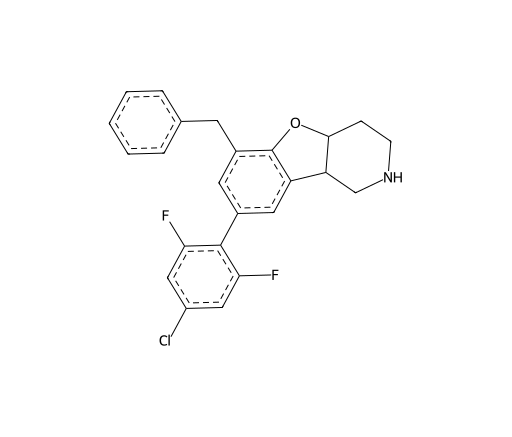 Fc1cc(Cl)cc(F)c1-c1cc(Cc2ccccc2)c2c(c1)C1CNCCC1O2